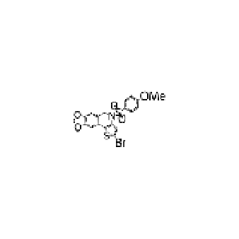 COc1ccc(S(=O)(=O)N2Cc3cc4c(cc3-c3sc(Br)cc32)OCO4)cc1